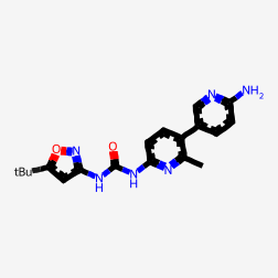 Cc1nc(NC(=O)Nc2cc(C(C)(C)C)on2)ccc1-c1ccc(N)nc1